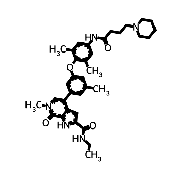 CCNC(=O)c1cc2c(-c3cc(C)cc(Oc4c(C)cc(NC(=O)CCCN5CCCCC5)cc4C)c3)cn(C)c(=O)c2[nH]1